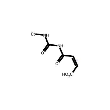 CCNC(=O)NC(=O)/C=C\C(=O)O